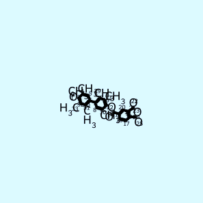 COc1c(C)cc(-c2cc(C)c(OC(=O)c3ccc4c(c3)C(=O)OC4=O)c(C)c2C)c(C)c1C